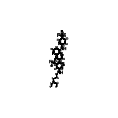 CCN(CC)CCCNc1cc(C(F)(F)F)c(-c2cnc3c(Nc4ccc(C(F)(F)F)cn4)ccnc3n2)nn1